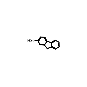 [SeH]c1ccc2c(c1)[CH]c1ccccc1-2